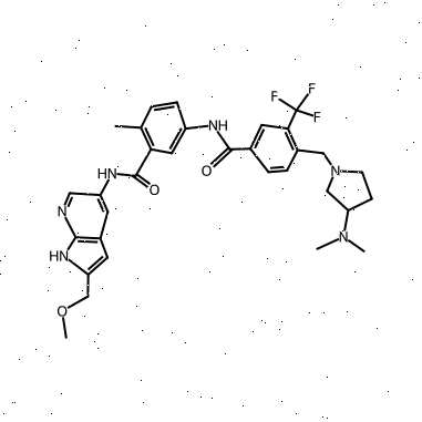 COCc1cc2cc(NC(=O)c3cc(NC(=O)c4ccc(CN5CCC(N(C)C)C5)c(C(F)(F)F)c4)ccc3C)cnc2[nH]1